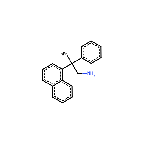 [CH2]CCC(CN)(c1ccccc1)c1cccc2ccccc12